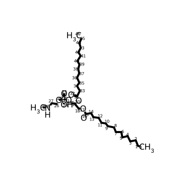 CCCCCCCCCCCCCCCC(=O)OCC(COP(=O)(O)OCCNC)OC(=O)CCCCCCCCCCCCCC